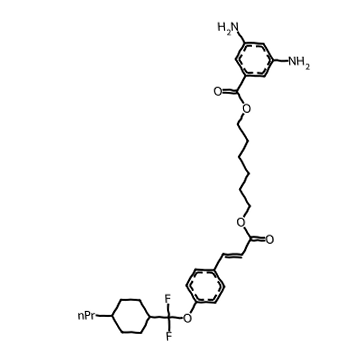 CCCC1CCC(C(F)(F)Oc2ccc(C=CC(=O)OCCCCCCOC(=O)c3cc(N)cc(N)c3)cc2)CC1